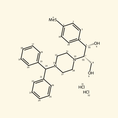 CSc1ccc([C@H](O)[C@H](CO)N2CCN(C(c3ccccc3)c3ccccc3)CC2)cc1.Cl.Cl